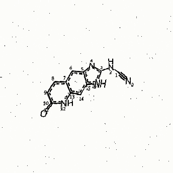 N#CNc1nc2cc3ccc(=O)[nH]c3cc2[nH]1